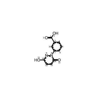 O=C(O)c1cccc(-n2nc(O)ccc2=O)c1